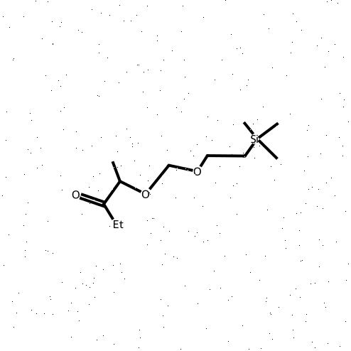 CCC(=O)C(C)OCOCC[Si](C)(C)C